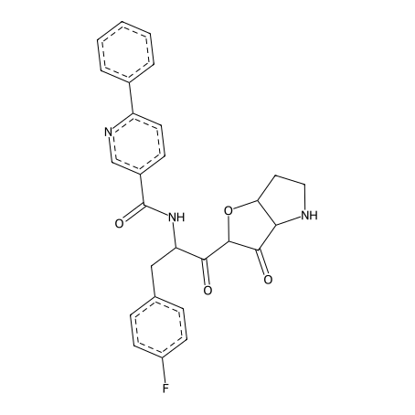 O=C(NC(Cc1ccc(F)cc1)C(=O)C1OC2CCNC2C1=O)c1ccc(-c2ccccc2)nc1